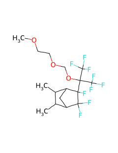 COCCOCOC(C(F)(F)F)(C(F)(F)F)C1(F)C2CC(C(C)C2C)C1(F)F